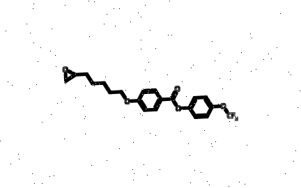 O=C(Oc1ccc(OC(F)(F)F)cc1)c1ccc(OCCCCCC2CO2)cc1